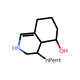 CCCCCC1CNC=C2CCCC(O)C21